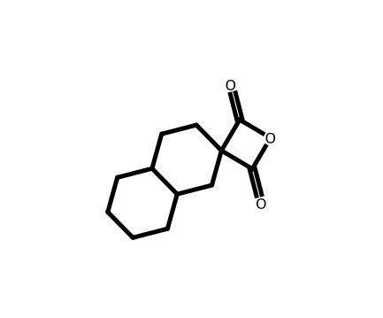 O=C1OC(=O)C12CCC1CCCCC1C2